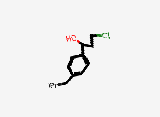 CC(C)Cc1ccc(C(O)CCCl)cc1